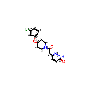 O=C(Cc1ccc(=O)[nH]n1)N1CCC(Oc2cccc(Cl)c2)CC1